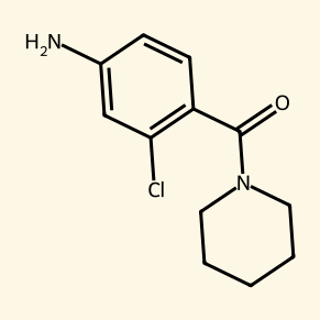 Nc1ccc(C(=O)N2CCCCC2)c(Cl)c1